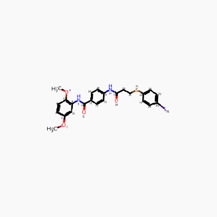 COc1ccc(OC)c(NC(=O)c2ccc(NC(=O)CCSc3ccc(I)cc3)cc2)c1